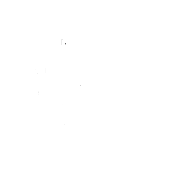 C=C(C)C#N.C=C(CCCC)C(=O)OO